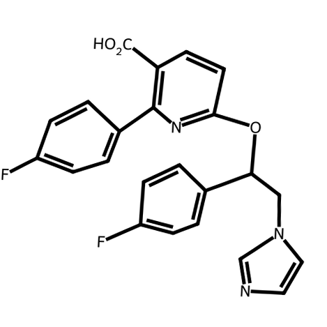 O=C(O)c1ccc(OC(Cn2ccnc2)c2ccc(F)cc2)nc1-c1ccc(F)cc1